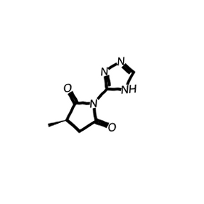 C[C@@H]1CC(=O)N(c2nnc[nH]2)C1=O